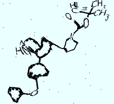 CC(C)(C)OC(=O)N1CCC=C(c2cc(-c3ccc(Oc4ccccc4)cc3)c3[nH]ncc3c2)C1